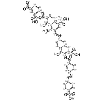 Nc1c(N=Nc2ccc3c(O)c(N=Nc4ccc(N=Nc5ccc(S(=O)(=O)O)cc5)cc4)c(S(=O)(=O)O)cc3c2)cc(S(=O)(=O)O)c2ccc(N=Nc3ccc([N+](=O)[O-])cc3S(=O)(=O)O)c(O)c12